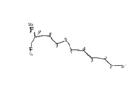 [CH2]CCCCCCCCC(F)F